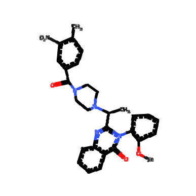 CCOc1ccccc1-n1c(C(C)N2CCN(C(=O)c3ccc(C)c([N+](=O)[O-])c3)CC2)nc2ccccc2c1=O